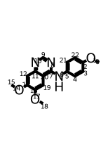 COc1ccc(Nc2ncnc3cc(OC)c(OC)cc23)cc1